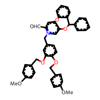 COc1ccc(COc2ccc(Cn3cc(OC(c4ccccc4)c4ccccc4)c(=O)cc3C=O)cc2OCc2ccc(OC)cc2)cc1